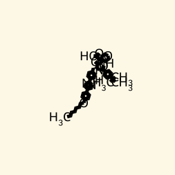 CCCCCCCOc1ccc(-c2cnc(-c3ccc(C[C@H](NC(=O)c4ccc(C(C)(C)C)cc4)C(=O)NC4(CC(=O)O)CCOCC4)cc3)nc2)cc1